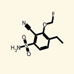 CCc1ccc(S(N)(=O)=O)c(C#N)c1OCF